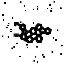 N#Cc1ccc2c(c1)c1c(C#N)cccc1n2-c1cccc(C#N)c1-c1ccccc1-c1cccc(-n2c3ccccc3c3ccccc32)c1